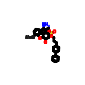 COc1cccc2c1OC1C(=O)CCC3(OS(=O)OCCCc4ccc(-c5ccccc5)cc4)C(C)C(N)CCC213